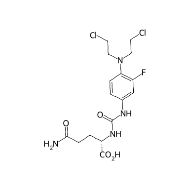 NC(=O)CC[C@H](NC(=O)Nc1ccc(N(CCCl)CCCl)c(F)c1)C(=O)O